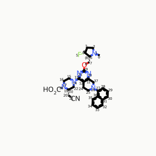 CN1CC[C@@H](F)[C@H]1COc1nc2c(c(N3CCN(C(=O)O)[C@@H](CC#N)C3)n1)CCN(c1cccc3ccccc13)C2